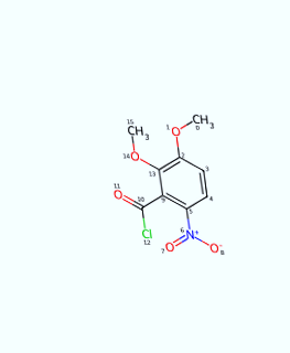 COc1ccc([N+](=O)[O-])c(C(=O)Cl)c1OC